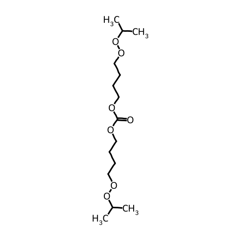 CC(C)OOCCCCOC(=O)OCCCCOOC(C)C